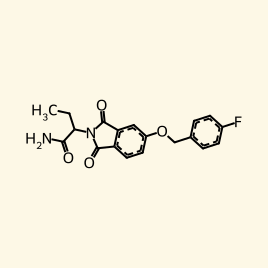 CCC(C(N)=O)N1C(=O)c2ccc(OCc3ccc(F)cc3)cc2C1=O